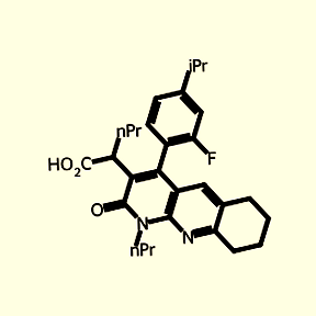 CCCC(C(=O)O)c1c(-c2ccc(C(C)C)cc2F)c2cc3c(nc2n(CCC)c1=O)CCCC3